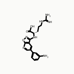 N=C(N)NCCC[C@H](Nc1noc2ncc(-c3cccc(N)c3)cc12)C(=O)O